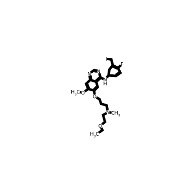 CCOCCN(C)CCCOc1cc2c(NC3C=CC(F)=C(CI)C3)ncnc2cc1OC